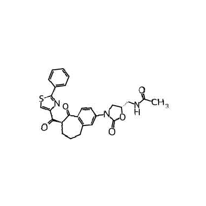 CC(=O)NC[C@H]1CN(c2ccc3c(c2)CCC[C@@H](C(=O)c2csc(-c4ccccc4)n2)C3=O)C(=O)O1